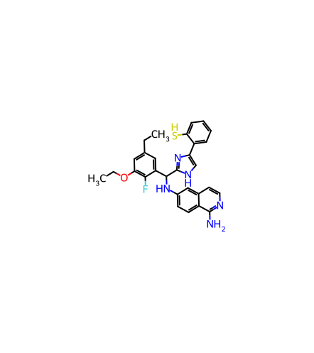 CCOc1cc(CC)cc(C(Nc2ccc3c(N)nccc3c2)c2nc(-c3ccccc3S)c[nH]2)c1F